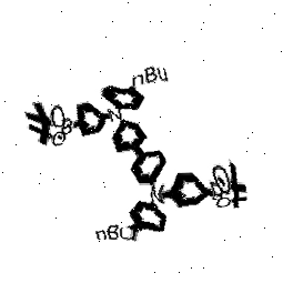 CCCCc1ccc(N(c2ccc(B3OC(C)(C)C(C)(C)O3)cc2)c2ccc(-c3ccc(N(c4ccc(CCCC)cc4)c4ccc(B5OC(C)(C)C(C)(C)O5)cc4)cc3)cc2)cc1